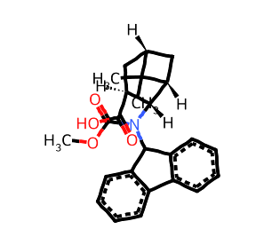 COC(=O)N(C1c2ccccc2-c2ccccc21)[C@@H]1[C@@H](C(=O)O)C[C@@H]2C[C@H]1C2(C)C